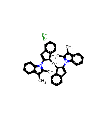 Cc1c(C)n(C2=Cc3ccccc3[CH]2[Zr+2][CH]2C(n3c(C)c(C)c4ccccc43)=Cc3ccccc32)c2ccccc12.[Br-].[Br-]